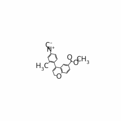 [C-]#[N+]c1ccc(C2=CCOc3ccc(C(=O)OC)cc32)c(C)c1